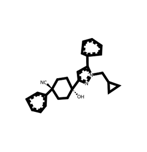 N#C[C@]1(c2ccccc2)CC[C@](O)(c2cc(-c3ccccc3)n(CC3CC3)n2)CC1